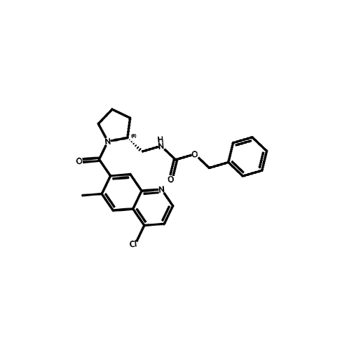 Cc1cc2c(Cl)ccnc2cc1C(=O)N1CCC[C@@H]1CNC(=O)OCc1ccccc1